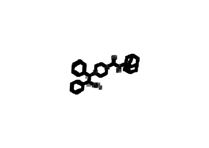 N[C@@H](c1ccccc1)[C@@H](c1ccccc1)N1CCN(C(=O)NC23CC4CC(CC(C4)C2)C3)CC1